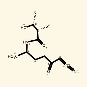 C[C@H](C(=O)NC(CCC(=O)C=[N+]=[N-])C(=O)O)[C@@H](C)O